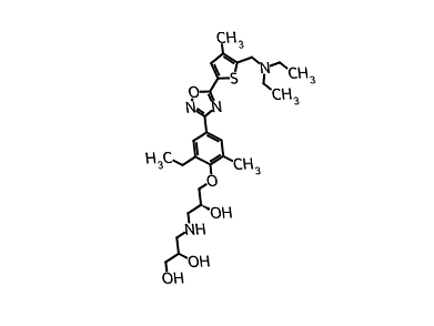 CCc1cc(-c2noc(-c3cc(C)c(CN(CC)CC)s3)n2)cc(C)c1OC[C@@H](O)CNCC(O)CO